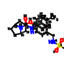 CS(=O)(=O)NCc1ccc(OC2CC3CCC(C2)N3C(=O)Nc2ccc(C(F)(F)F)cc2)c(C(F)(F)F)c1